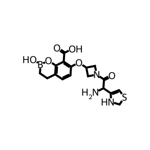 NC(C(=O)N1CC(Oc2ccc3c(c2C(=O)O)OB(O)CC3)C1)C1=CSCN1